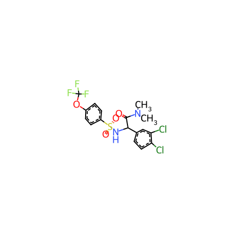 CN(C)C(=O)C(NS(=O)(=O)c1ccc(OC(F)(F)F)cc1)c1ccc(Cl)c(Cl)c1